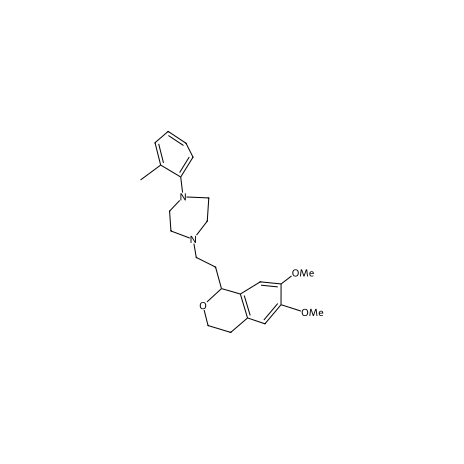 COc1cc2c(cc1OC)C(CCN1CCN(c3ccccc3C)CC1)OCC2